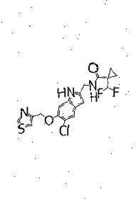 O=C(NCc1cc2cc(Cl)c(OCc3cscn3)cc2[nH]1)C1(C(F)F)CC1